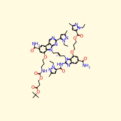 CCn1nc(C)cc1C(=O)Nc1nc2cc(C(N)=O)cc(OCCCOC(=O)c3cc(C)nn3CC)c2n1C/C=C/Cn1c2nc(-c3cc(C)nn3CC)ncc2c2cc(C(N)=O)cc(OCCCNC(=O)OCCC(=O)OC(C)(C)C)c21